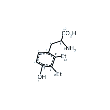 CCc1c(O)ccc(CC(N)C(=O)O)c1CC